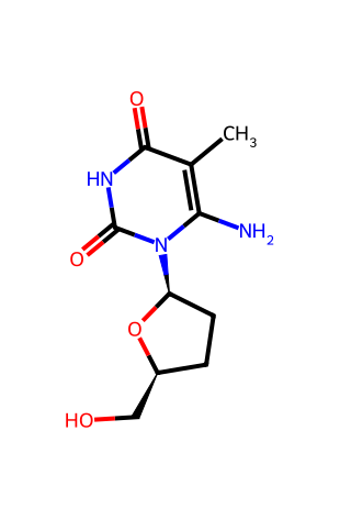 Cc1c(N)n([C@H]2CC[C@@H](CO)O2)c(=O)[nH]c1=O